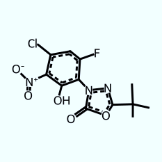 CC(C)(C)c1nn(-c2c(F)cc(Cl)c([N+](=O)[O-])c2O)c(=O)o1